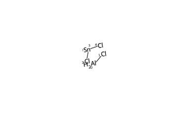 [AlH2][Cl].[Cl][Sn][Cl]